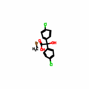 CBr.O=C(O)C(O)(c1ccc(Cl)cc1)c1ccc(Cl)cc1